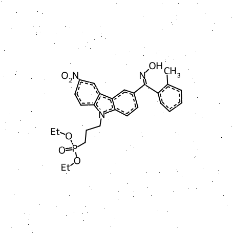 CCOP(=O)(CCCn1c2ccc(C(=NO)c3ccccc3C)cc2c2cc([N+](=O)[O-])ccc21)OCC